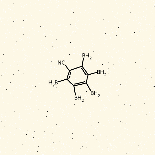 Bc1c(B)c(B)c(C#N)c(B)c1B